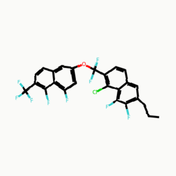 CCCc1cc2ccc(C(F)(F)Oc3cc(F)c4c(F)c(C(F)(F)F)ccc4c3)c(Cl)c2c(F)c1F